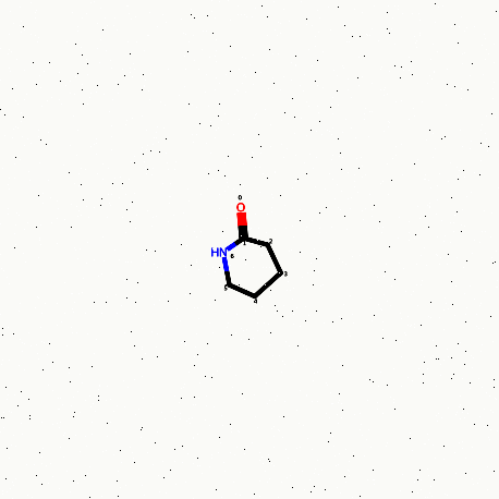 O=C1C[CH]C[CH]N1